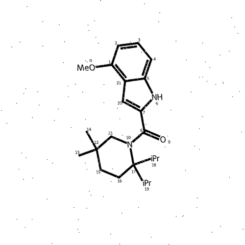 COc1cccc2[nH]c(C(=O)N3CC(C)(C)CCC3(C(C)C)C(C)C)cc12